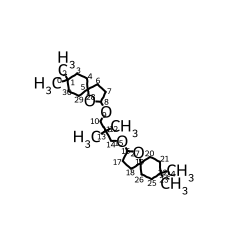 CC1(C)CCC2(CCC(OCC(C)(C)COC3CCC4(CCC(C)(C)CC4)O3)O2)CC1